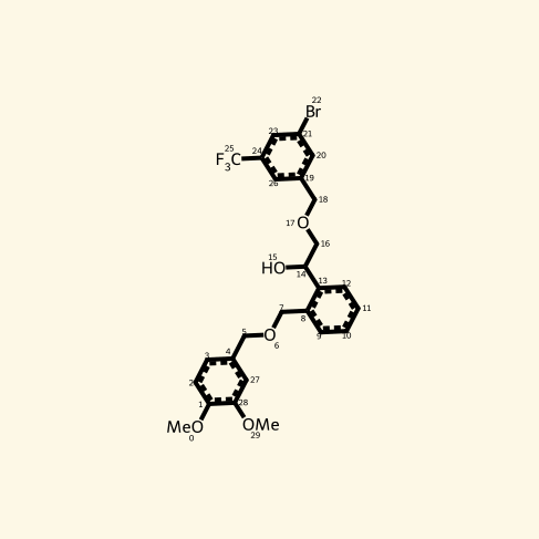 COc1ccc(COCc2ccccc2C(O)COCc2cc(Br)cc(C(F)(F)F)c2)cc1OC